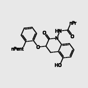 CCCCCc1ccccc1OC1Cc2c(O)cccc2N(NC(=O)CCC)C1=O